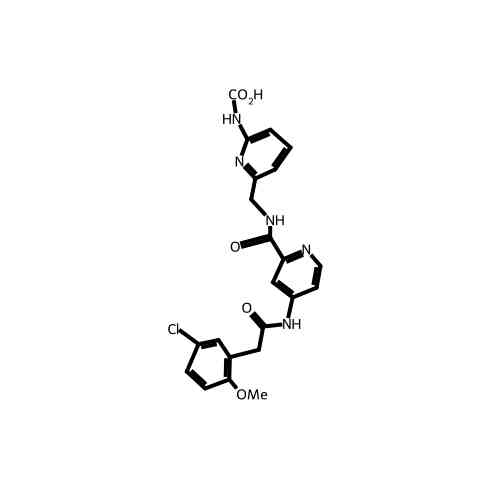 COc1ccc(Cl)cc1CC(=O)Nc1ccnc(C(=O)NCc2cccc(NC(=O)O)n2)c1